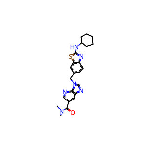 CN(C)C(=O)c1cnc2c(c1)ncn2Cc1ccc2nc(NC3CCCCC3)sc2c1